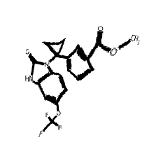 COC(=O)c1cccc(C2(n3c(=O)[nH]c4cc(OC(F)(F)F)ccc43)CC2)c1